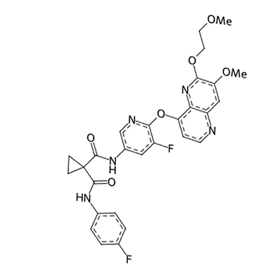 COCCOc1nc2c(Oc3ncc(NC(=O)C4(C(=O)Nc5ccc(F)cc5)CC4)cc3F)ccnc2cc1OC